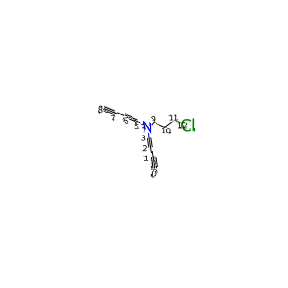 C#CC#CN(C#CC#C)CCCCl